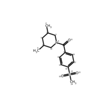 CC1CC(C)CN(C(=O)c2ccc(S(C)(=O)=O)cc2)C1